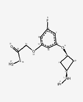 CC(C)N[C@H]1C[C@@H](Oc2cc(F)cc(OCC(=O)SS)c2)C1